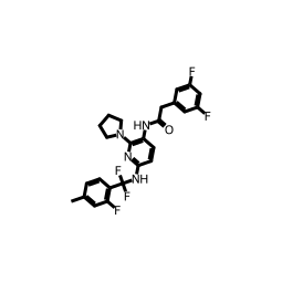 Cc1ccc(C(F)(F)Nc2ccc(NC(=O)Cc3cc(F)cc(F)c3)c(N3CCCC3)n2)c(F)c1